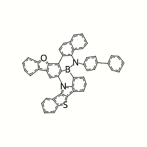 c1ccc(-c2ccc(N3B4c5c(cc6c(oc7ccccc76)c5-c5ccc6ccccc6c53)-n3c5c4cccc5c4sc5ccccc5c43)cc2)cc1